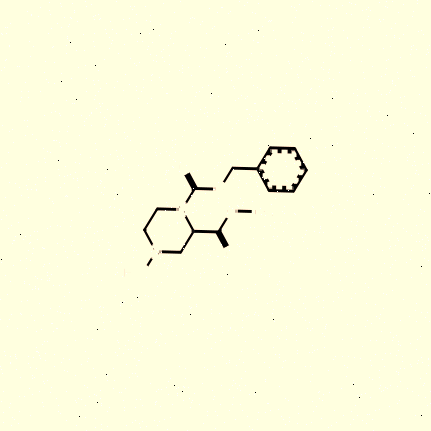 CN1CCN(C(=O)OCc2ccccc2)C(C(=O)OC(C)(C)C)C1